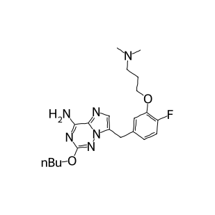 CCCCOc1nc(N)c2ncc(Cc3ccc(F)c(OCCCN(C)C)c3)n2n1